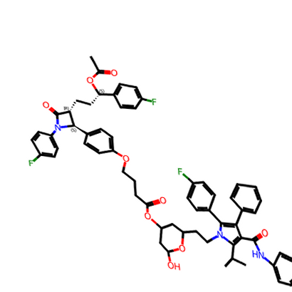 CC(=O)O[C@@H](CC[C@H]1C(=O)N(c2ccc(F)cc2)[C@@H]1c1ccc(OCCCC(=O)OC2CC(O)OC(CCn3c(-c4ccc(F)cc4)c(-c4ccccc4)c(C(=O)Nc4ccccc4)c3C(C)C)C2)cc1)c1ccc(F)cc1